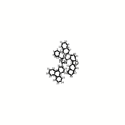 c1ccc(-c2nccc3ccccc23)c(-c2nc(-c3ccc4c5ccccc5c5ccccc5c4c3)nc(-c3cccc4oc5cc6ccccc6cc5c34)n2)c1